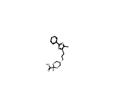 Cc1oc(-c2ccccc2)nc1CCC[C@H]1CO[C@@](C)(C(=O)O)OC1